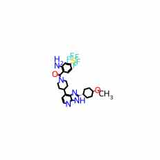 CO[C@H]1CC[C@H](c2nc3c(C4CCN(C(=O)c5ccc(S(F)(F)(F)(F)F)cc5N)CC4)ccnc3[nH]2)CC1